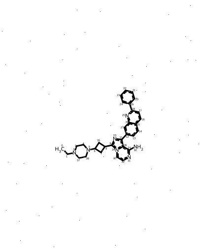 CCN1CCN(C2CC(c3nc(-c4ccc5ccc(-c6ccccc6)nc5c4)c4c(N)nccn34)C2)CC1